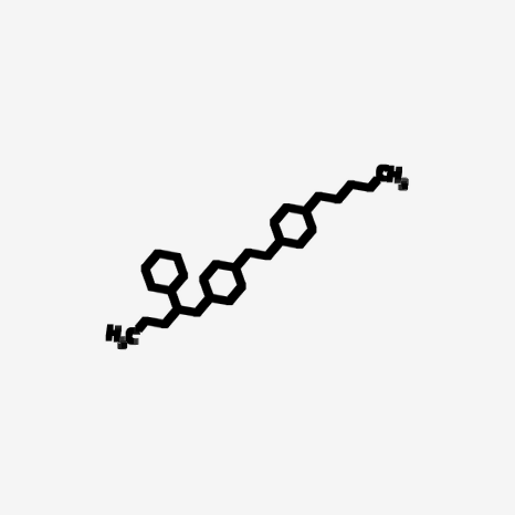 CCCCCC1CCC(CCC2CCC(CC(CCC)C3CCCCC3)CC2)CC1